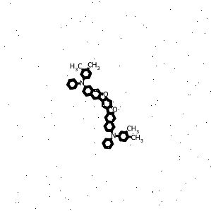 Cc1ccc(N(c2ccccc2)c2ccc3cc4c(cc3c2)oc2cc3oc5cc6cc(N(c7ccccc7)c7ccc(C)c(C)c7)ccc6cc5c3cc24)cc1C